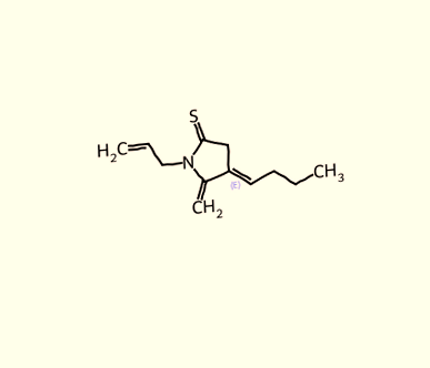 C=CCN1C(=C)/C(=C/CCC)CC1=S